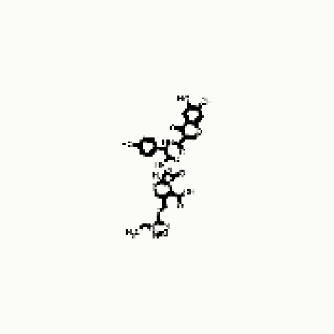 CCn1nnnc1SCC1=C(C(=O)O)N2C(=O)[C@@H](NC(=O)C(NC(=O)c3coc4cc(O)c(O)cc4c3=O)c3ccc(O)cc3)[C@@H]2SC1